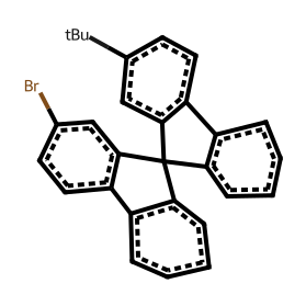 CC(C)(C)c1ccc2c(c1)C1(c3ccccc3-c3ccc(Br)cc31)c1ccccc1-2